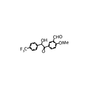 COc1ccc(C(=O)C(O)c2ccc(C(F)(F)F)cc2)cc1C=O